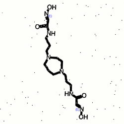 O=C(/C=N/O)NCCCN1CCCN(CCCNC(=O)/C=N/O)CC1